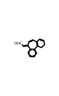 O=CC=C1C=CC2=C(CCC=C2)c2ccccc21